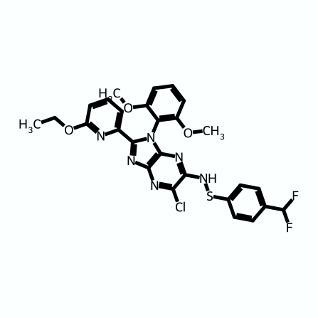 CCOc1cccc(-c2nc3nc(Cl)c(NSc4ccc(C(F)F)cc4)nc3n2-c2c(OC)cccc2OC)n1